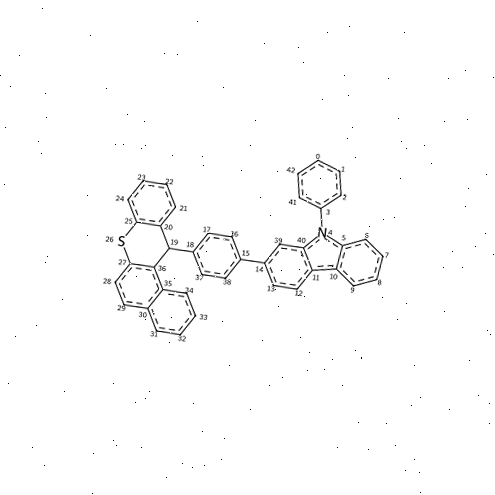 c1ccc(-n2c3ccccc3c3ccc(-c4ccc(C5c6ccccc6Sc6ccc7ccccc7c65)cc4)cc32)cc1